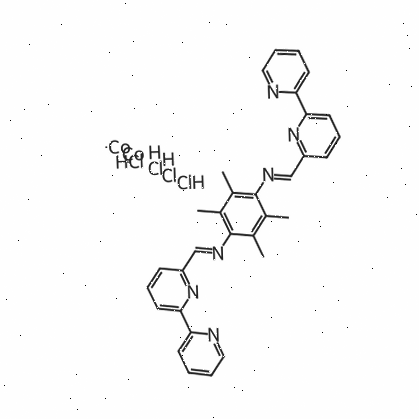 Cc1c(C)c(N=Cc2cccc(-c3ccccn3)n2)c(C)c(C)c1N=Cc1cccc(-c2ccccn2)n1.Cl.Cl.Cl.Cl.[Co].[Co]